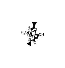 CC(C)(C)[C@@H](C(=O)N1CC(O)CC1C(=O)NC1CC1)n1cc(C2CC2)nn1